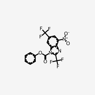 O=C(Oc1ccccc1)n1c(C(F)(F)F)nc2c([N+](=O)[O-])cc(C(F)(F)F)cc21